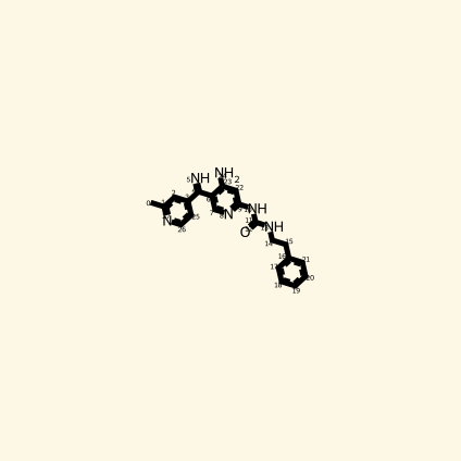 Cc1cc(C(=N)c2cnc(NC(=O)NCCc3ccccc3)cc2N)ccn1